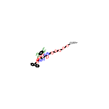 COCCOCCOCCOCCOCCOCCNC(=O)CC[C@H](NC(=O)OCC1c2ccccc2-c2ccccc21)C(=O)Oc1c(F)c(F)cc(F)c1F